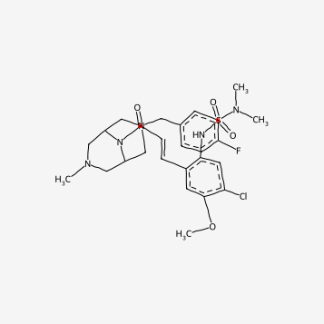 COc1cc(/C=C/C(=O)N2C3CN(C)CC2CN(Cc2ccc(F)cc2)C3)c(NS(=O)(=O)N(C)C)cc1Cl